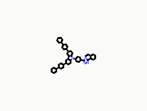 c1ccc(-c2ccc(-c3ccc4c(c3)c3cc(-c5ccc(-c6ccccc6)cc5)ccc3n4-c3ccc(-c4nnc5c6ccccc6ccn45)cc3)cc2)cc1